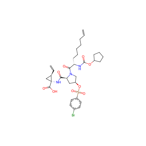 C=CCCCCC[C@H](NC(=O)OC1CCCC1)C(=O)N1C[C@@H](OS(=O)(=O)c2ccc(Br)cc2)C[C@H]1C(=O)N[C@]1(C(=O)O)C[C@H]1C=C